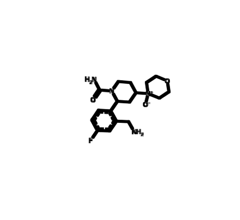 NCc1cc(F)ccc1C1CC([N+]2([O-])CCOCC2)CCN1C(N)=O